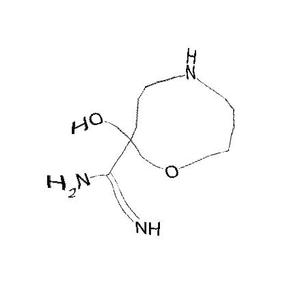 N=C(N)C1(O)CNCCO1